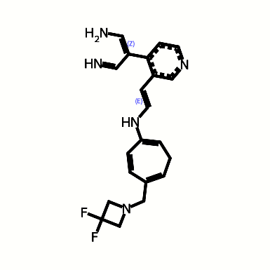 N=C/C(=C\N)c1ccncc1/C=C/NC1=CCC=C(CN2CC(F)(F)C2)C=C1